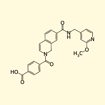 COc1cc(CNC(=O)c2ccc3c(c2)CN(C(=O)c2ccc(C(=O)O)cc2)C=C3)ccn1